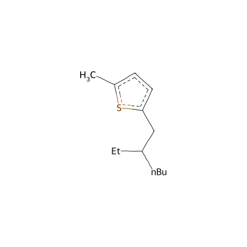 CCCCC(CC)Cc1ccc(C)s1